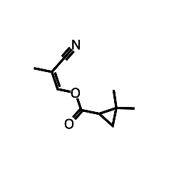 CC(C#N)=COC(=O)C1CC1(C)C